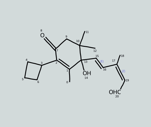 CC1=C(C2CCC2)C(=O)CC(C)(C)C1(O)/C=C/C(C)=C\C=O